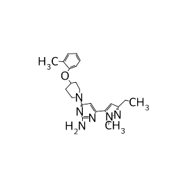 CCc1cc(-c2cc(N3CCC(Oc4ccccc4C)CC3)nc(N)n2)n(C)n1